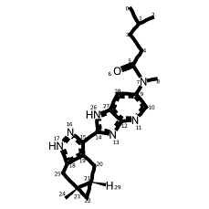 CC(C)CCC(=O)N(C)c1cnc2nc(-c3n[nH]c4c3C[C@@H]3C[C@]3(C)C4)[nH]c2c1